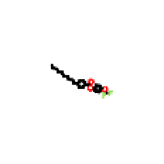 CCCCCCCCCCC1CCC(C(=O)Oc2ccc(OC(F)F)cc2)CC1